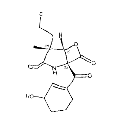 C[C@]1(CCCl)C(=O)N[C@@]2(C(=O)C3=CC(O)CCC3)C(=O)O[C@H]21